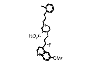 COc1ccc2nccc([C@@H](F)CC[C@@H]3CCN(CCCc4ccccc4C)C[C@@H]3C(=O)O)c2c1